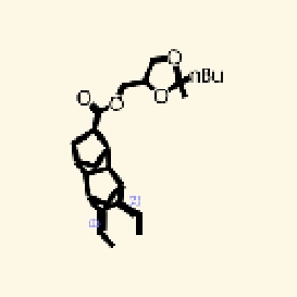 C/C=C1\C(=C/C)C2CC1C1C3CC(C(=O)OCC4COC(C)(CCCC)O4)C(C3)C21